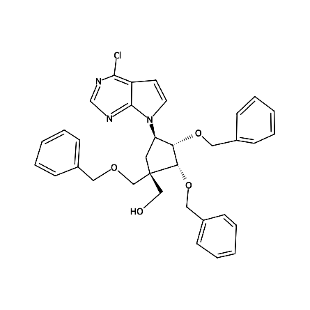 OC[C@@]1(COCc2ccccc2)C[C@@H](n2ccc3c(Cl)ncnc32)[C@H](OCc2ccccc2)[C@@H]1OCc1ccccc1